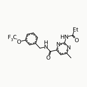 CCC(=O)Nc1nc(C)cc(C(=O)NCc2cccc(OC(F)(F)F)c2)n1